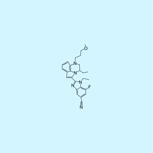 CCC1CN(CCCOC)c2cccc3cc(-c4nc5cc(C#N)cc(F)c5n4CC)n1c23